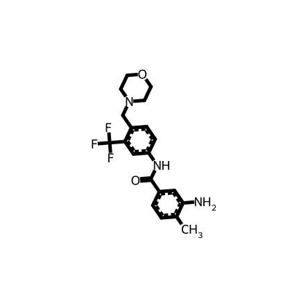 Cc1ccc(C(=O)Nc2ccc(CN3CCOCC3)c(C(F)(F)F)c2)cc1N